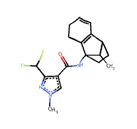 CC1C2CCC1(NC(=O)c1cn(C)nc1C(F)F)C1=C2C=CCC1